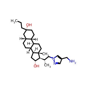 CCC[C@@]1(O)CC[C@H]2[C@H](CC[C@@H]3[C@@H]2CC[C@]2(C)[C@@H]([C@@H](C)Cn4cc(CN)cn4)[C@H](O)C[C@@H]32)C1